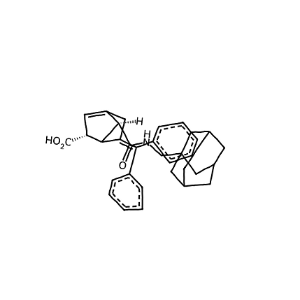 O=C(NCC12CC3CC(CC(C3)C1)C2)[C@@H]1C2=C[C@@H](C(=O)O)C1C(=C(c1ccccc1)c1ccccc1)C2